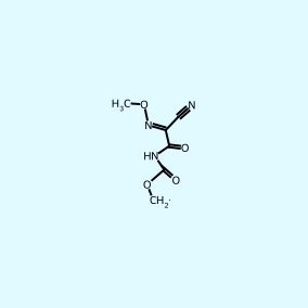 [CH2]OC(=O)NC(=O)C(C#N)=NOC